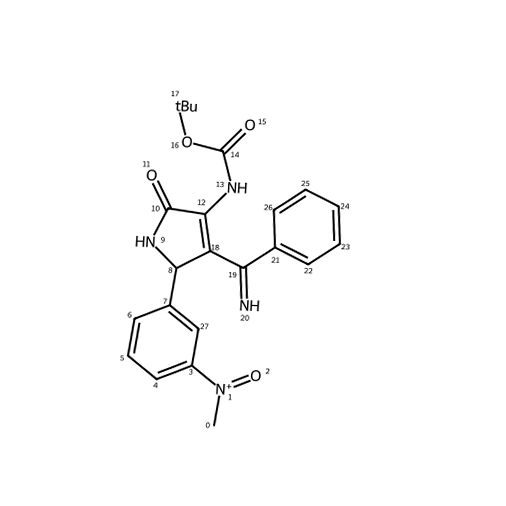 C[N+](=O)c1cccc(C2NC(=O)C(NC(=O)OC(C)(C)C)=C2C(=N)c2ccccc2)c1